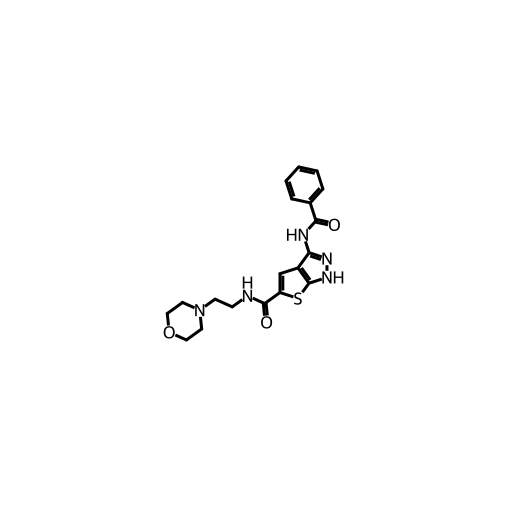 O=C(Nc1n[nH]c2sc(C(=O)NCCN3CCOCC3)cc12)c1ccccc1